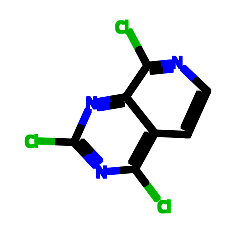 Clc1nc(Cl)c2ccnc(Cl)c2n1